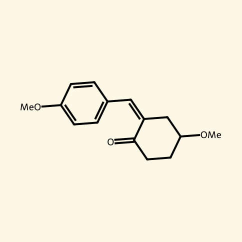 COc1ccc(/C=C2/CC(OC)CCC2=O)cc1